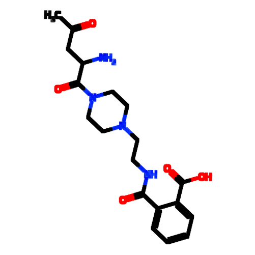 CC(=O)CC(N)C(=O)N1CCN(CCNC(=O)c2ccccc2C(=O)O)CC1